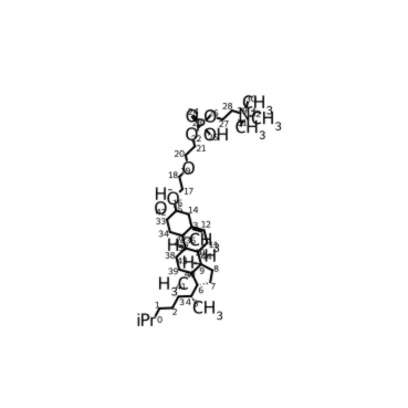 CC(C)CCC[C@@H](C)[C@H]1CC[C@H]2[C@@H]3CC=C4CC(OCCOCCOP(=O)(O)OCC[N+](C)(C)C)CC[C@]4(C)[C@H]3CC[C@]12C.[OH-]